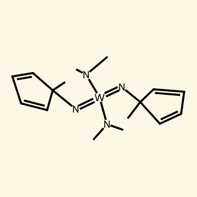 C[N](C)[W](=[N]C1(C)C=CC=C1)(=[N]C1(C)C=CC=C1)[N](C)C